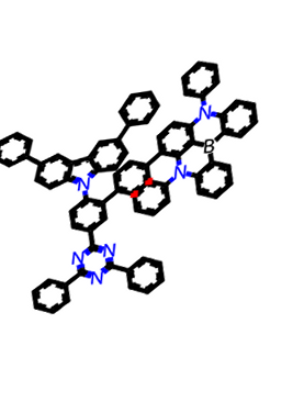 c1ccc(-c2ccc3c(c2)c2cc(-c4ccccc4)ccc2n3-c2ccc(-c3nc(-c4ccccc4)nc(-c4ccccc4)n3)cc2-c2ccc(-c3ccc4c5c3N(c3ccccc3)c3ccccc3B5c3ccccc3N4c3ccccc3)cc2)cc1